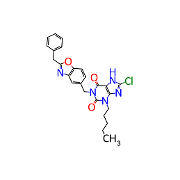 CCCCCn1c(=O)n(Cc2ccc3oc(Cc4ccccc4)nc3c2)c(=O)c2[nH]c(Cl)nc21